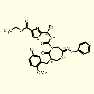 CC[C@@H](NC(=O)N1C/C(=N/Oc2ccccc2)NC[C@@H](Cc2cc(Cl)ccc2OC)C1=O)c1nc(C(=O)OCC(Cl)(Cl)Cl)cs1